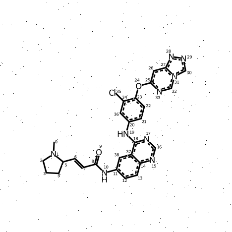 CN1CCCC1C=CC(=O)Nc1ccc2ncnc(Nc3ccc(Oc4cc5nncn5cn4)c(Cl)c3)c2c1